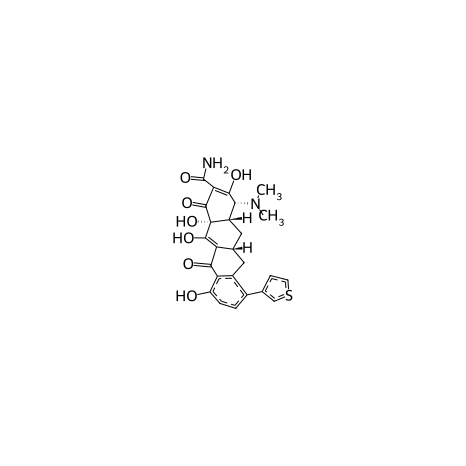 CN(C)[C@H]1C(O)=C(C(N)=O)C(=O)[C@]2(O)C(O)=C3C(=O)c4c(O)ccc(-c5ccsc5)c4C[C@H]3C[C@@H]12